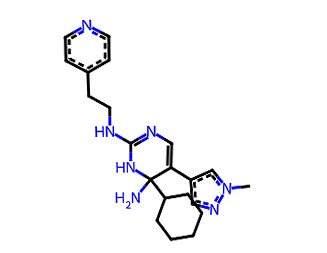 Cn1cc(C2=CN=C(NCCc3ccncc3)NC2(N)C2CCCCC2)cn1